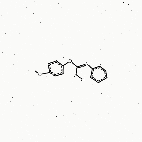 COc1ccc(O/C(CCl)=N/c2ccccc2)cc1